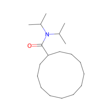 CC(C)N(C(=O)C1CCCCCCCCCCC1)C(C)C